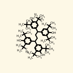 CC(C)(C)c1cc(C(CCC(c2cc(C(C)(C)C)c(O)c(C(C)(C)C)c2)c2cc(C(C)(C)C)c(O)c(C(C)(C)C)c2)c2cc(C(C)(C)C)c(O)c(C(C)(C)C)c2)cc(C(C)(C)C)c1O